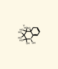 ON1C2=CC=CCC2(O)C(O)(O)C(O)(O)C1(O)O.[V]